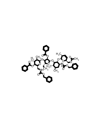 CC[C@H]1O[C@@H](O[C@@H]2[C@@H](C)[C@H](C)C[C@H](NC(=O)OCc3ccccc3)[C@H]2O[C@H]2O[C@H](COC(C)=O)C=C[C@H]2C)[C@H](OC(=O)c2ccccc2)[C@@H]1O[C@H]1O[C@@H](CNC(=O)OCc2ccccc2)[C@@H](OC(=O)c2ccccc2)[C@H](C)[C@H]1C